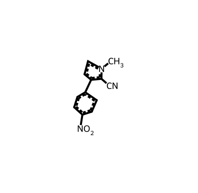 Cn1ccc(-c2ccc([N+](=O)[O-])cc2)c1C#N